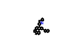 CN1c2ccccc2C(C)(C)c2ccc(-c3c4ccccc4c(-c4cccc5c4-c4ccccc4C5(C)C)c4cc(-c5ccc6ccccc6c5)ccc34)cc21